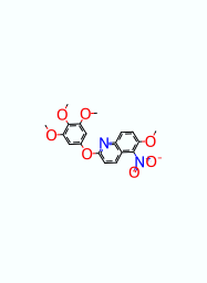 COc1cc(Oc2ccc3c([N+](=O)[O-])c(OC)ccc3n2)cc(OC)c1OC